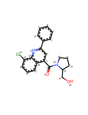 O=C(c1cc(-c2ccccc2)nc2c(Cl)cccc12)N1CCCC1CO